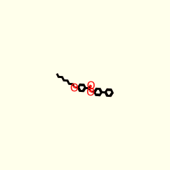 CCCCCCCOc1ccc(C(=O)Oc2ccc(-c3ccccc3)cc2)cc1